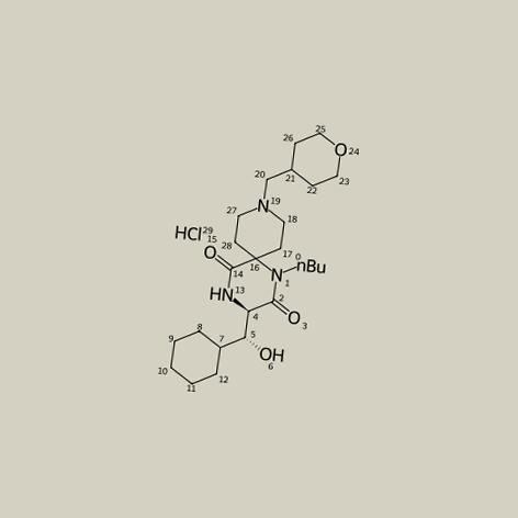 CCCCN1C(=O)[C@@H]([C@H](O)C2CCCCC2)NC(=O)C12CCN(CC1CCOCC1)CC2.Cl